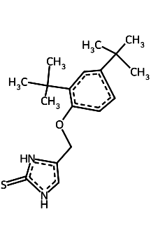 CC(C)(C)c1ccc(OCc2c[nH]c(=S)[nH]2)c(C(C)(C)C)c1